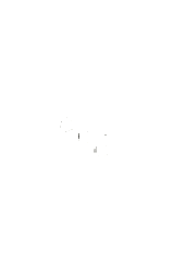 COC(=O)c1ccccc1-c1ccc(-c2ccccc2C(C)=O)c(C)c1C